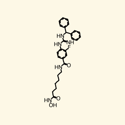 N=C(Nc1ccc(C(=O)NCCCCCCC(=O)NO)cc1F)NC(c1ccccc1)c1ccccc1